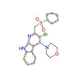 O=S(=O)(Cc1nc2[nH]c3ccccc3c2c(N2CCOCC2)c1Br)c1ccccc1